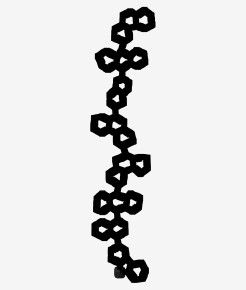 c1ccc2c(c1)ccc1ccc(-c3c4ccccc4c(-c4ccc5cc(-c6cc7ccc(-c8cc9ccc(-c%10c%11ccccc%11c(-c%11ccc(-c%12ccc%13oc%14ccccc%14c%13c%12)c%12ccccc%11%12)c%11ccccc%10%11)cc9c9ccccc89)cc7c7ccccc67)ccc5c4)c4ccccc34)cc12